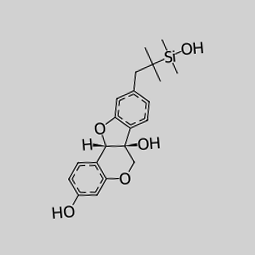 CC(C)(Cc1ccc2c(c1)O[C@H]1c3ccc(O)cc3OC[C@@]21O)[Si](C)(C)O